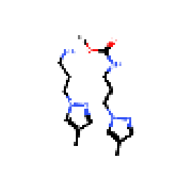 Cc1cnn(CCCN)c1.Cc1cnn(CCCNC(=O)OC(C)(C)C)c1